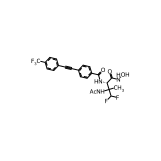 CC(=O)NC(C)(C(F)F)[C@H](NC(=O)c1ccc(C#Cc2ccc(C(F)(F)F)cc2)cc1)C(=O)NO